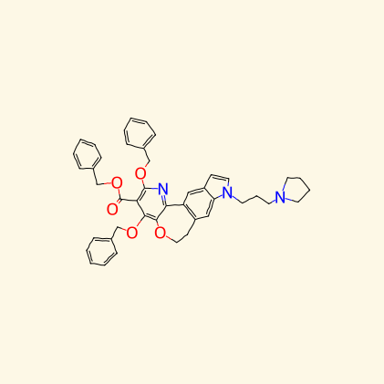 O=C(OCc1ccccc1)c1c(OCc2ccccc2)nc2c(c1OCc1ccccc1)OCCc1cc3c(ccn3CCCN3CCCC3)cc1-2